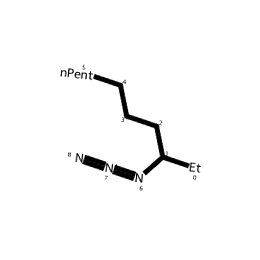 [CH2]CC(CCCCCCCC)N=[N+]=[N-]